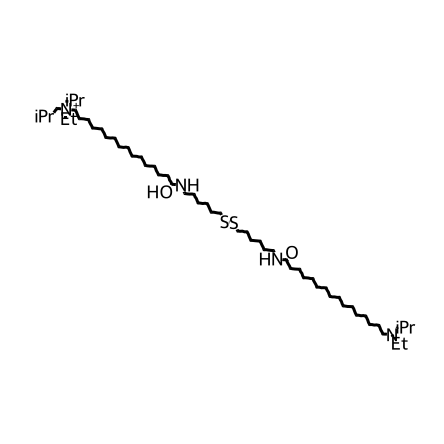 CCN(CCCCCCCCCCCCCCCC(=O)NCCCCCCSSCCCCCCNC(O)CCCCCCCCCCCCCCC[N+](CC)(CC(C)C)C(C)C)C(C)C